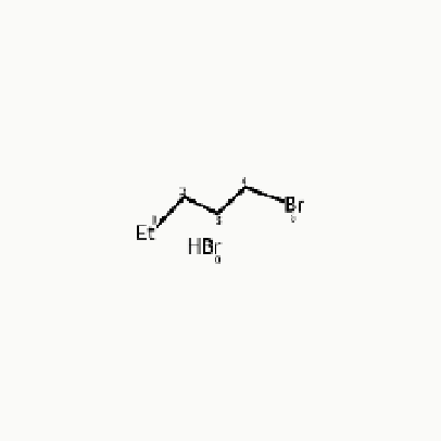 Br.CCCCCBr